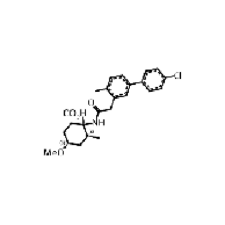 CO[C@H]1CCC(NC(=O)Cc2cc(-c3ccc(Cl)cc3)ccc2C)(C(=O)O)[C@@H](C)C1